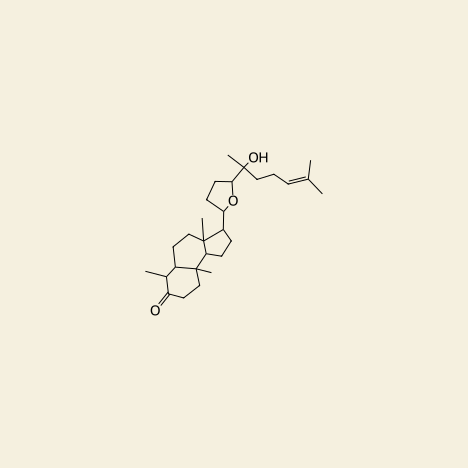 CC(C)=CCCC(C)(O)C1CCC(C2CCC3C2(C)CCC2C(C)C(=O)CCC23C)O1